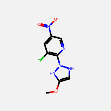 COC1=CNN(c2ncc([N+](=O)[O-])cc2Cl)N1